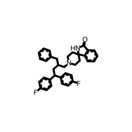 O=C1NC2(CCN(CC(Cc3ccccc3)CC(c3ccc(F)cc3)c3ccc(F)cc3)CC2)c2ccccc21